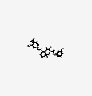 C[C@H]1C(=O)N2[C@@H](CCN3CCC4(CC4)[C@H](O)C3)CCC[C@H]2CN1C(=O)Nc1cccc(F)c1